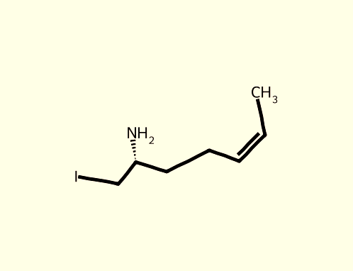 C/C=C\CC[C@@H](N)CI